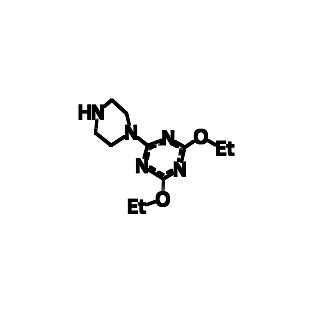 CCOc1nc(OCC)nc(N2CCNCC2)n1